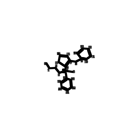 CCCC[Si](C)(C1=C(Cc2ccccc2)C=CC1)c1ccccc1